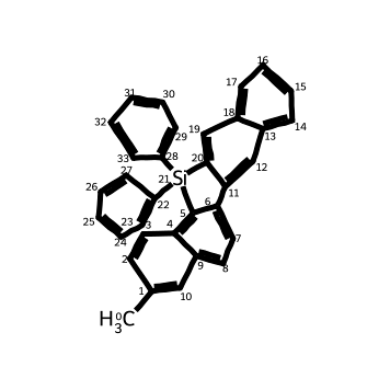 Cc1ccc2c3c(ccc2c1)-c1cc2ccccc2cc1[Si]3(c1ccccc1)c1ccccc1